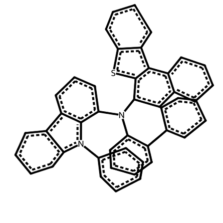 c1ccc(-c2ccccc2N(c2cc3ccccc3c3c2sc2ccccc23)c2cccc3c4ccccc4n(-c4ccccc4)c23)cc1